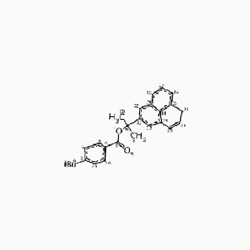 CCC(C)c1ccc(C(=O)OC(C)(C)c2cc3c4c(cccc4c2)CC=C3)cc1